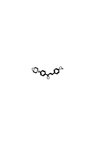 COc1ccc(/C=C/C(=O)c2ccc(N3CCOCC3)cc2)cc1